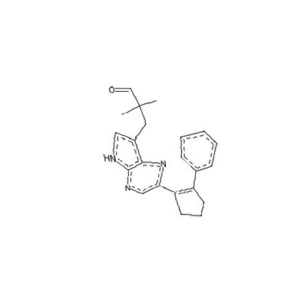 CC(C)(C=O)Cc1c[nH]c2ncc(C3=C(c4ccccc4)CCC3)nc12